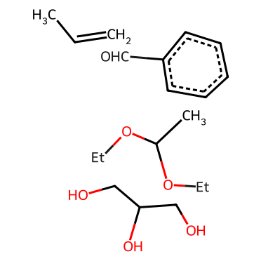 C=CC.CCOC(C)OCC.O=Cc1ccccc1.OCC(O)CO